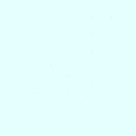 CC(C)(C)OC(=O)N1CCc2nc(NCCNc3ccc([N+](=O)[O-])c(N)n3)nc(Nc3ccc(Cl)cc3Cl)c2C1